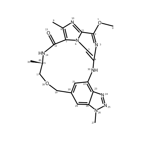 COc1nc2cn3c(c(C)nc13)C(=O)N[C@H](C)COCc1cc(c3nnn(C)c3c1)N2